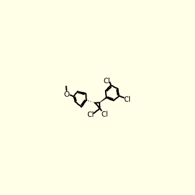 COc1ccc([C@@H]2[C@@H](c3cc(Cl)cc(Cl)c3)C2(Cl)Cl)cc1